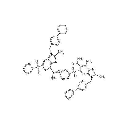 Cc1nc2c(N)c(C(N)=O)c(S(=O)(=O)c3ccccc3)cc2n1Cc1ccc(-c2ccccc2)cc1.NC(=O)c1cc(S(=O)(=O)c2ccccc2)cc2c1nc(N)n2Cc1ccc(-c2ccccc2)cc1